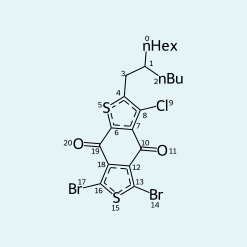 CCCCCCC(CCCC)Cc1sc2c(c1Cl)C(=O)c1c(Br)sc(Br)c1C2=O